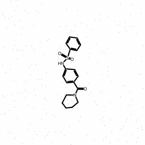 O=C(c1ccc(NS(=O)(=O)c2ccccc2)cc1)N1CCCCC1